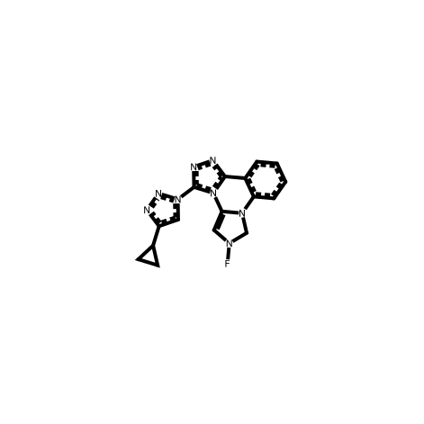 FN1C=C2N(C1)c1ccccc1-c1nnc(-n3cc(C4CC4)nn3)n12